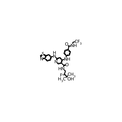 CC(C)(O)[C@H](F)CNC(=O)c1cnc(Nc2ccc3ncsc3c2)cc1Nc1ccc(C(=O)NCC(F)(F)F)cc1